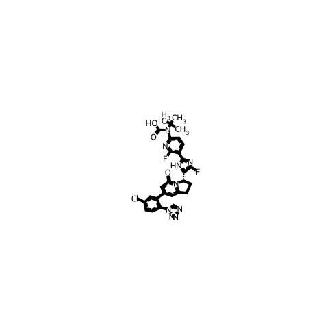 CC(C)(C)N(C(=O)O)c1ccc(-c2nc(F)c([C@@H]3CCc4cc(-c5cc(Cl)ccc5-n5cnnn5)cc(=O)n43)[nH]2)c(F)n1